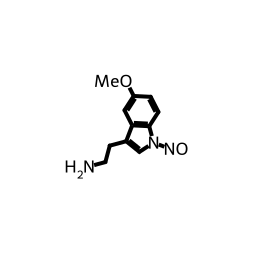 COc1ccc2c(c1)c(CCN)cn2N=O